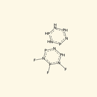 Fn1pn[pH]n(F)p1F.n1p[nH][pH][nH][pH]1